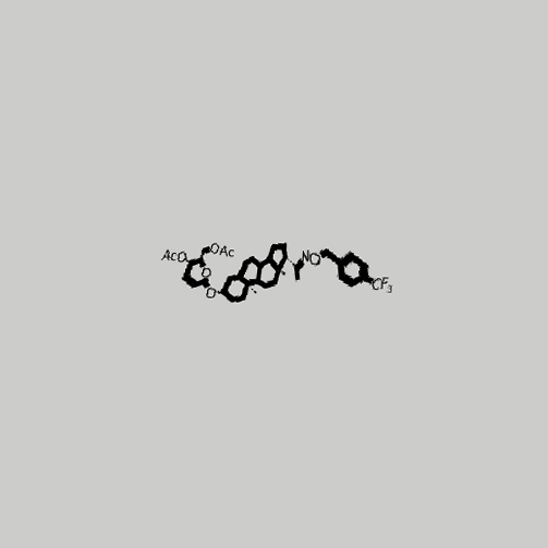 CC(=O)OC[C@H]1OC(O[C@H]2CC[C@@]3(C)C(=CCC4C3CC[C@@]3(C)C4CC[C@@H]3/C(C)=N/OCc3ccc(C(F)(F)F)cc3)C2)C=C[C@@H]1OC(C)=O